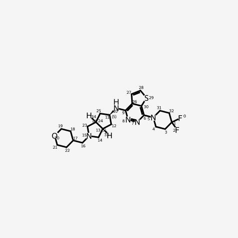 FC1(F)CCN(c2nnc(N[C@H]3C[C@@H]4CN(CC5CCOCC5)C[C@@H]4C3)c3ccsc23)CC1